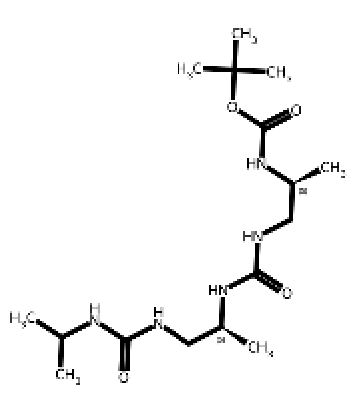 CC(C)NC(=O)NC[C@H](C)NC(=O)NC[C@H](C)NC(=O)OC(C)(C)C